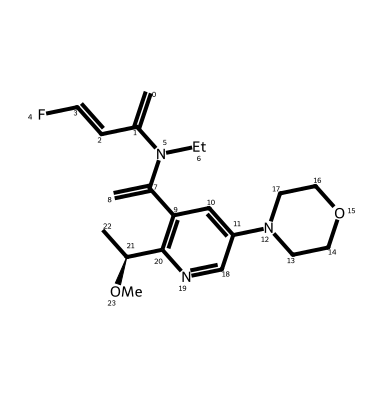 C=C(/C=C/F)N(CC)C(=C)c1cc(N2CCOCC2)cnc1[C@H](C)OC